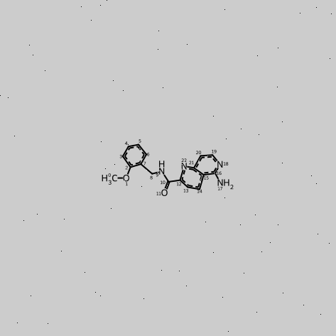 COc1ccccc1CNC(=O)c1ccc2c(N)nccc2n1